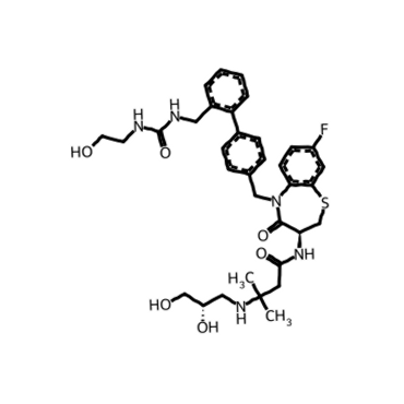 CC(C)(CC(=O)N[C@@H]1CSc2cc(F)ccc2N(Cc2ccc(-c3ccccc3CNC(=O)NCCO)cc2)C1=O)NC[C@H](O)CO